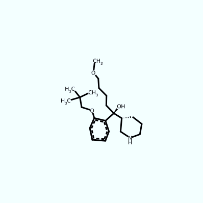 COCCCC[C@@](O)(c1ccccc1OCC(C)(C)C)[C@@H]1CCCNC1